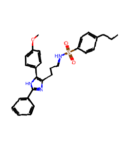 CCCc1ccc(S(=O)(=O)NCCCc2nc(-c3ccccc3)[nH]c2-c2ccc(OC)cc2)cc1